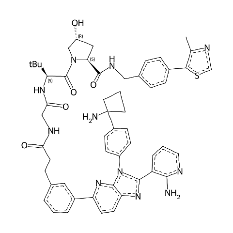 Cc1ncsc1-c1ccc(CNC(=O)[C@@H]2C[C@@H](O)CN2C(=O)[C@@H](NC(=O)CNC(=O)CCc2cccc(-c3ccc4nc(-c5cccnc5N)n(-c5ccc(C6(N)CCC6)cc5)c4n3)c2)C(C)(C)C)cc1